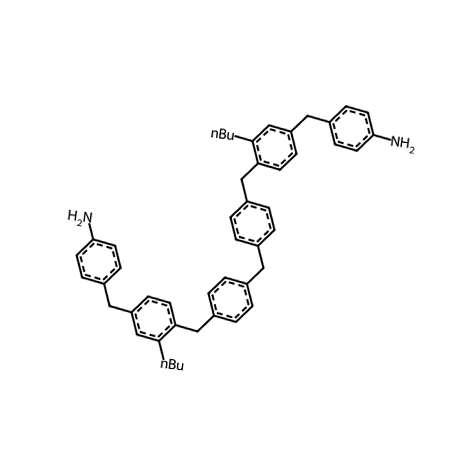 CCCCc1cc(Cc2ccc(N)cc2)ccc1Cc1ccc(Cc2ccc(Cc3ccc(Cc4ccc(N)cc4)cc3CCCC)cc2)cc1